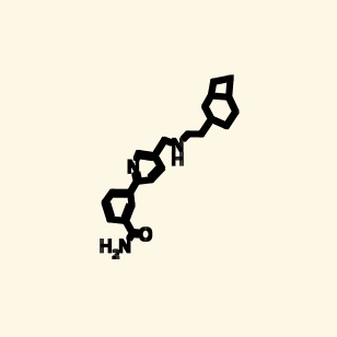 NC(=O)c1cccc(-c2ccc(CNCCC3CCC4CCC4C3)cn2)c1